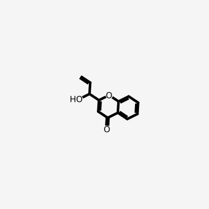 C=CC(O)c1cc(=O)c2ccccc2o1